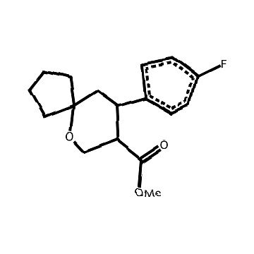 COC(=O)C1COC2(CCCC2)CC1c1ccc(F)cc1